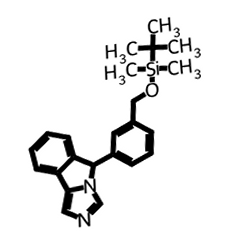 CC(C)(C)[Si](C)(C)OCc1cccc(C2c3ccccc3-c3cncn32)c1